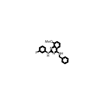 COc1cccc2c(NCc3ccccc3)nc(Nc3cccc(F)c3)nc12